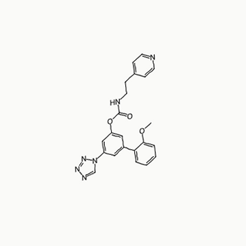 COc1ccccc1-c1cc(OC(=O)NCCc2ccncc2)cc(-n2cnnn2)c1